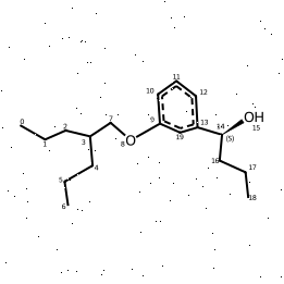 CCCC(CCC)COc1cccc([C@@H](O)CCC)c1